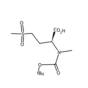 CN(C(=O)OC(C)(C)C)[C@@H](CCS(C)(=O)=O)C(=O)O